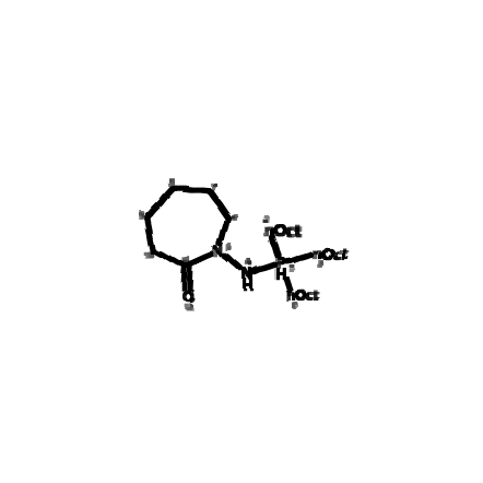 CCCCCCCC[PH](CCCCCCCC)(CCCCCCCC)NN1CCCCCC1=O